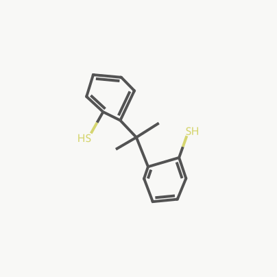 CC(C)(c1ccccc1S)c1ccccc1S